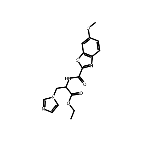 CCOC(=O)C(Cn1ccnc1)NC(=O)c1nc2ccc(OC)cc2s1